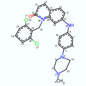 CN1CCN(c2ccc(Nc3ccc4ccc(=O)n(Cc5c(Cl)cccc5Cl)c4c3)cc2)CC1